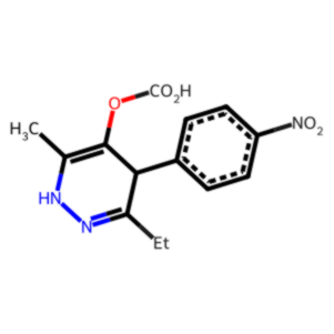 CCC1=NNC(C)=C(OC(=O)O)C1c1ccc([N+](=O)[O-])cc1